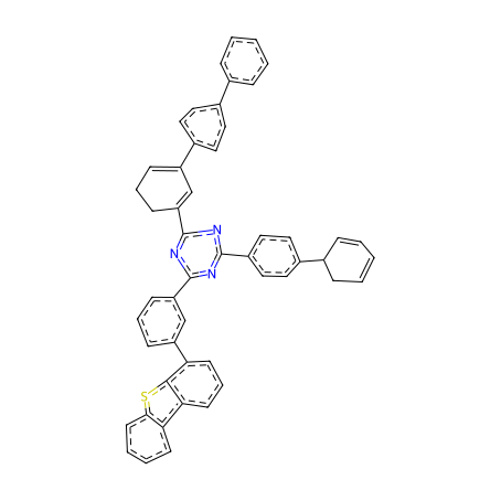 C1=CCC(c2ccc(-c3nc(C4=CC(c5ccc(-c6ccccc6)cc5)=CCC4)nc(-c4cccc(-c5cccc6c5sc5ccccc56)c4)n3)cc2)C=C1